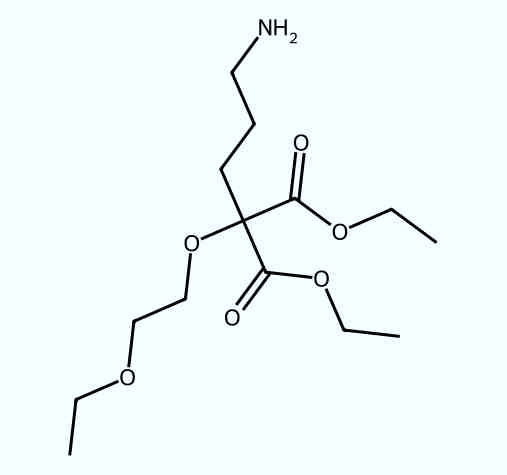 CCOCCOC(CCCN)(C(=O)OCC)C(=O)OCC